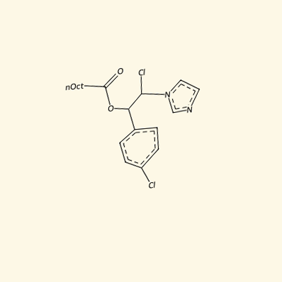 CCCCCCCCC(=O)OC(c1ccc(Cl)cc1)C(Cl)n1ccnc1